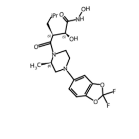 CC(C)C[C@H](C(=O)N1CCN(c2ccc3c(c2)OC(F)(F)O3)C[C@H]1C)[C@H](O)C(=O)NO